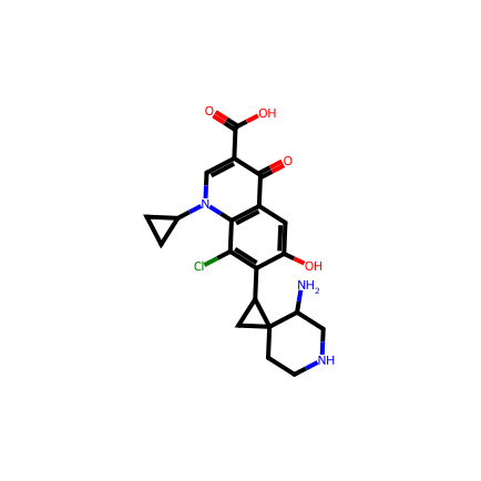 NC1CNCCC12CC2c1c(O)cc2c(=O)c(C(=O)O)cn(C3CC3)c2c1Cl